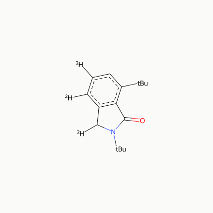 [2H]c1cc(C(C)(C)C)c2c(c1[2H])C([2H])N(C(C)(C)C)C2=O